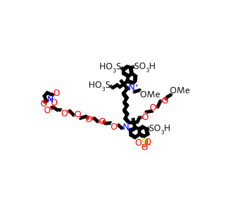 COCCOCCOCCOCCC1(C)\C(=C/C=C/C=C/C=C/C2=[N+](CCOC)c3ccc4c(S(=O)(=O)O)cc(S(=O)(=O)O)cc4c3C2(C)CCCS(=O)(=O)O)N(CCOCCOCCOCCOCCOCCC(=O)ON2C(=O)CCC2=O)c2ccc3c(S(=O)(=O)[O-])cc(S(=O)(=O)O)cc3c21